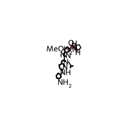 COc1cc(C(=O)N2C[C@H]3CC[C@@H]2[C@@H]3N)cc2nc(-c3cc4ccc(Nc5cccc(N)c5)nc4n3CC3CC3)n(C)c12